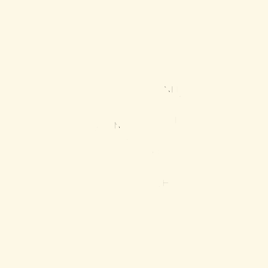 CCOc1c(O)c2c(N)cccc2n(C)c1=O